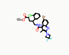 Cc1c(N2CC(F)(F)C2)nc2ccc(Br)cc2c1C(=O)NCC(CCC(=O)OC(C)(C)C)c1ccccc1Cl